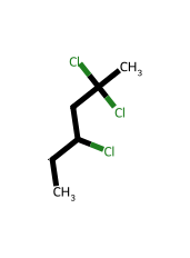 C[CH]C(Cl)CC(C)(Cl)Cl